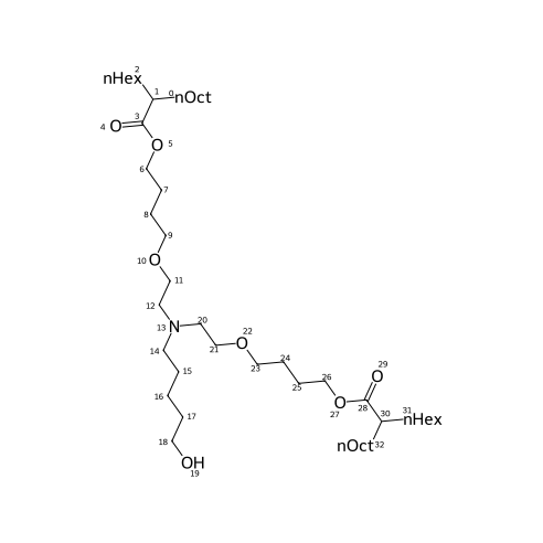 CCCCCCCCC(CCCCCC)C(=O)OCCCCOCCN(CCCCCO)CCOCCCCOC(=O)C(CCCCCC)CCCCCCCC